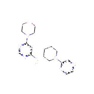 c1cnc(N2CCC[C@@H](Nc3cc(N4CCOCC4)ncn3)C2)cn1